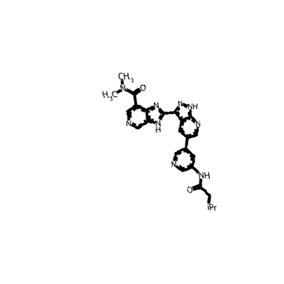 CC(C)CC(=O)Nc1cncc(-c2cnc3[nH]nc(-c4nc5c(C(=O)N(C)C)cncc5[nH]4)c3c2)c1